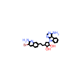 Nc1nc2cc(CCC3CC(n4c5ccccc5c5c(N)ncnc54)C(O)C3O)ccc2cc1Br